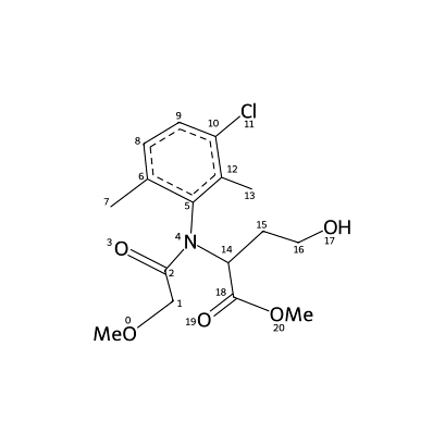 COCC(=O)N(c1c(C)ccc(Cl)c1C)C(CCO)C(=O)OC